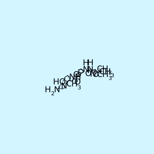 CC(C)(C)c1cc(NC(=O)Nc2ccc3oc(C(=O)C4=CC5(C)C(=CC=C(O)C5CN5CCC(N)CC5)N4)cc3c2)no1